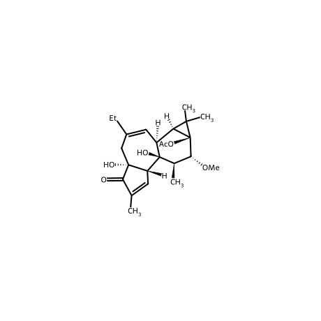 CCC1=C[C@H]2[C@H]3C(C)(C)[C@]3(OC(C)=O)[C@H](OC)[C@@H](C)[C@]2(O)[C@@H]2C=C(C)C(=O)[C@@]2(O)C1